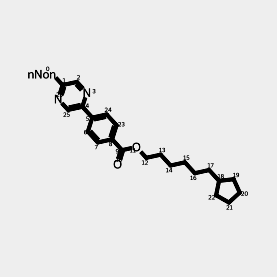 CCCCCCCCCc1cnc(-c2ccc(C(=O)OCCCCCCC3CCCC3)cc2)cn1